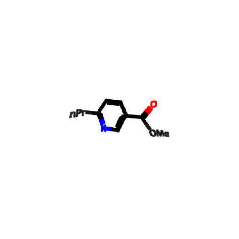 CCCc1ccc(C(=O)OC)cn1